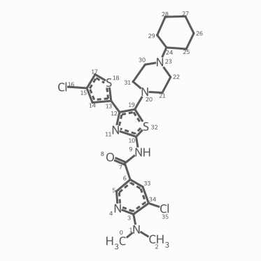 CN(C)c1ncc(C(=O)Nc2nc(-c3cc(Cl)cs3)c(N3CCN(C4CCCCC4)CC3)s2)cc1Cl